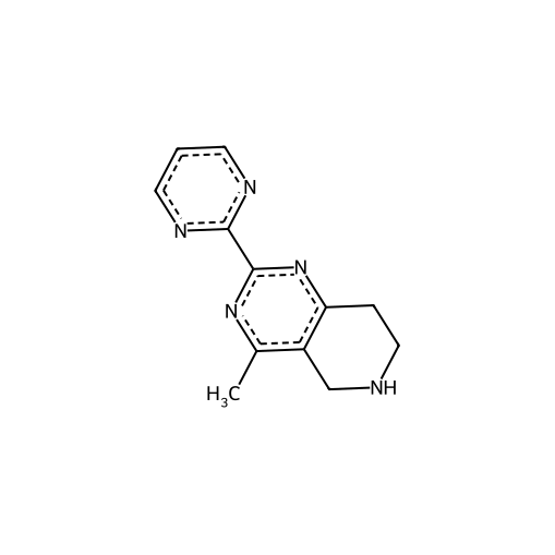 Cc1nc(-c2ncccn2)nc2c1CNCC2